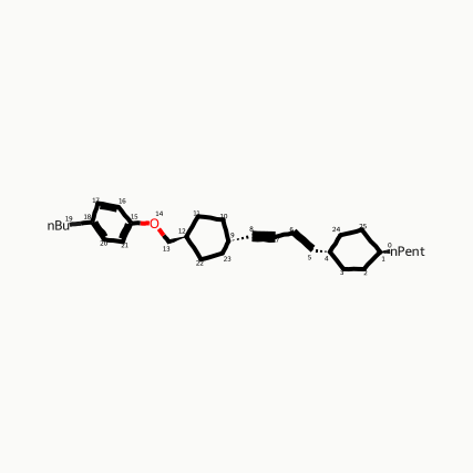 CCCCC[C@H]1CC[C@H](/C=C/C#C[C@H]2CC[C@H](COc3ccc(CCCC)cc3)CC2)CC1